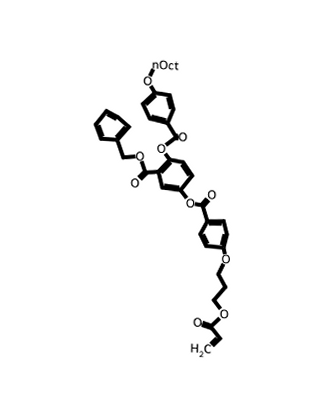 C=CC(=O)OCCCOc1ccc(C(=O)Oc2ccc(OC(=O)c3ccc(OCCCCCCCC)cc3)c(C(=O)OCc3ccccc3)c2)cc1